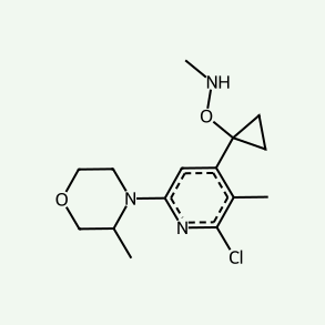 CNOC1(c2cc(N3CCOCC3C)nc(Cl)c2C)CC1